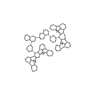 c1cc(-c2cc(-c3ccc4c(-c5cccc(-c6c7c(cc8c9cccc%10c%11ccccc%11n(c68)c%109)c6cccc8c9ccccc9n7c86)c5)cccc4c3)cc3ccccc23)cc(-c2c3c4cccc5c6ccccc6n(c3cc3c2c2cccc6c7ccccc7n3c62)c54)c1